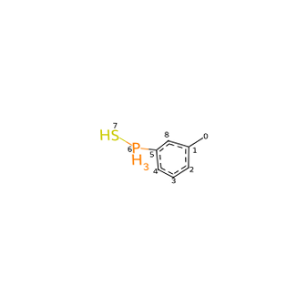 Cc1cccc([PH3]S)c1